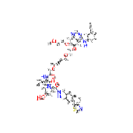 C#Cc1cccc(Nc2ncnc3cc(OCCOC)c(OCCOCC#CCOCC(=O)N[C@H](C(=O)N4C[C@H](O)C[C@H]4C(=O)NCc4ccc(-c5scnc5C)cc4)C(C)(C)C)cc23)c1